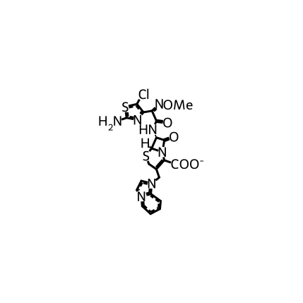 CO/N=C(\C(=O)N[C@@H]1C(=O)N2C(C(=O)[O-])=C(Cn3cc[n+]4ccccc34)CS[C@H]12)c1nc(N)sc1Cl